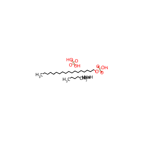 CCCCC.CCCCCCCCCCCCCCCCCCOS(=O)(=O)O.O=S(=O)(O)O.[NaH].[NaH]